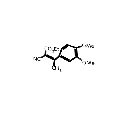 CCOC(=O)/C(C#N)=C(/C)c1ccc(OC)c(OC)c1